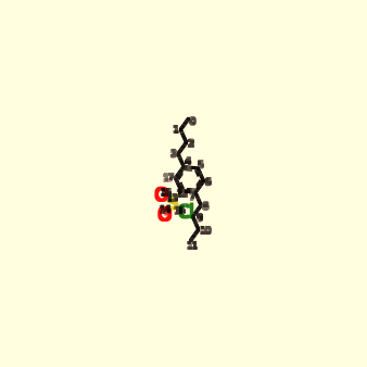 CCCCc1ccc(CCCC)c(S(=O)(=O)Cl)c1